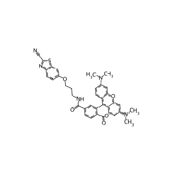 CN(C)c1ccc2c(-c3cc(C(=O)NCCCOc4ccc5nc(C#N)sc5c4)ccc3C(=O)[O-])c3ccc(=[N+](C)C)cc-3oc2c1